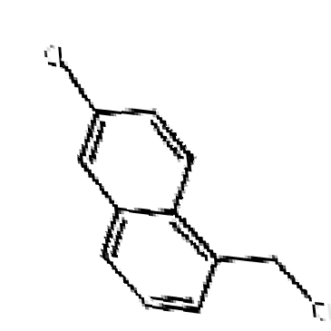 ClCc1cccc2cc(Cl)ccc12